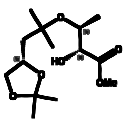 COC(=O)[C@H](O)[C@H](C)OC(C)(C)C[C@H]1COC(C)(C)O1